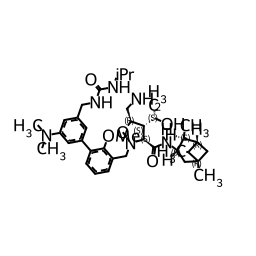 COc1c(CN2O[C@@H](CN)[C@H]([C@H](C)O)[C@H]2C(=O)N[C@H]2C[C@@]3(C)C[C@H](C3C)[C@@H]2C)cccc1-c1cc(CNC(=O)NC(C)C)cc(N(C)C)c1